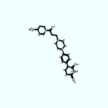 NC1CCN(C(=O)CCN2CCN(c3ccc(C4CCC(=O)NC4=O)cc3)CC2)CC1